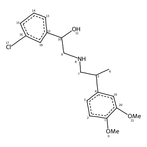 COc1ccc(C(C)CNCC(O)c2cccc(Cl)c2)cc1OC